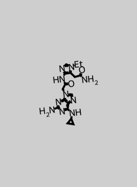 CCn1cnc(NC(=O)Cn2cnc3c(NC4CC4)nc(N)nc32)c1CC(N)=O